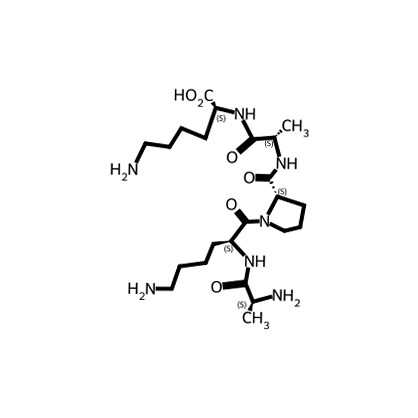 C[C@H](N)C(=O)N[C@@H](CCCCN)C(=O)N1CCC[C@H]1C(=O)N[C@@H](C)C(=O)N[C@@H](CCCCN)C(=O)O